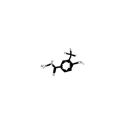 Cc1ccc(C(=O)NN)cc1C(F)(F)F